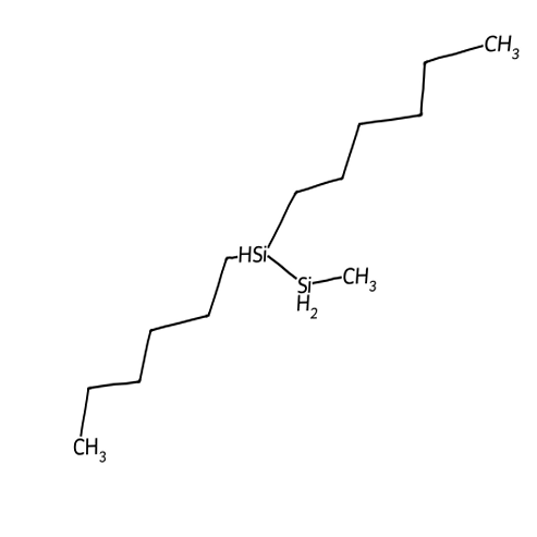 CCCCCC[SiH](CCCCCC)[SiH2]C